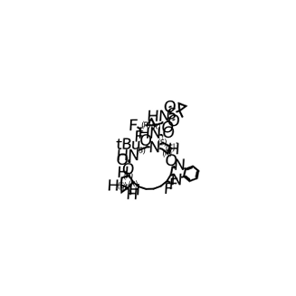 C[C@@H]1[C@@H]2CN(C(=O)[C@H](C(C)(C)C)NC(=O)O[C@@H]3C[C@@H]4C[C@@H]4[C@H]3CCCCC(F)(F)c3nc4ccccc4nc3O2)[C@@H]1C(=O)N[C@]1(C(=O)NS(=O)(=O)C2(C)CC2)C[C@H]1C(F)F